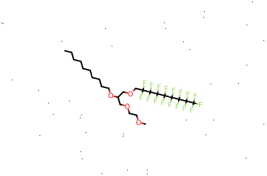 CCCCCCCCCCOC(COCCOC)COCC(F)(F)C(F)(F)C(F)(F)C(F)(F)C(F)(F)C(F)(F)C(F)(F)C(F)(F)F